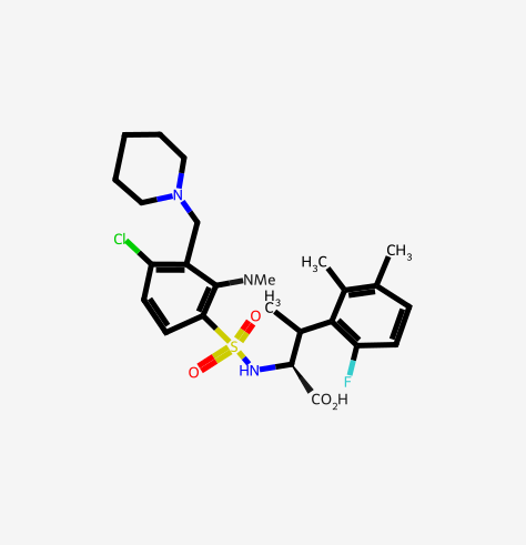 CNc1c(S(=O)(=O)N[C@H](C(=O)O)C(C)c2c(F)ccc(C)c2C)ccc(Cl)c1CN1CCCCC1